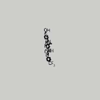 Cc1nc(N2CCN(CCO)CC2)nc2ncc(NC(=O)COc3ccc(C(F)(F)F)cc3)cc12